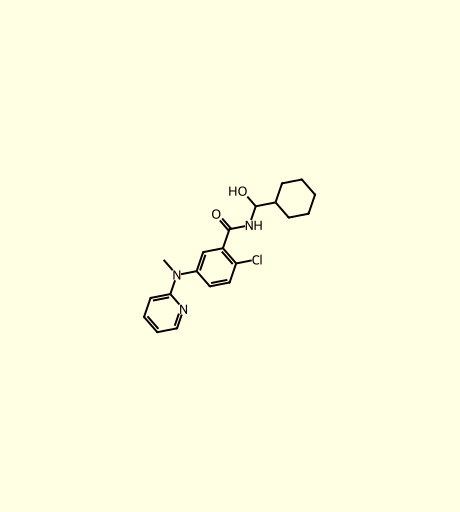 CN(c1ccc(Cl)c(C(=O)NC(O)C2CCCCC2)c1)c1ccccn1